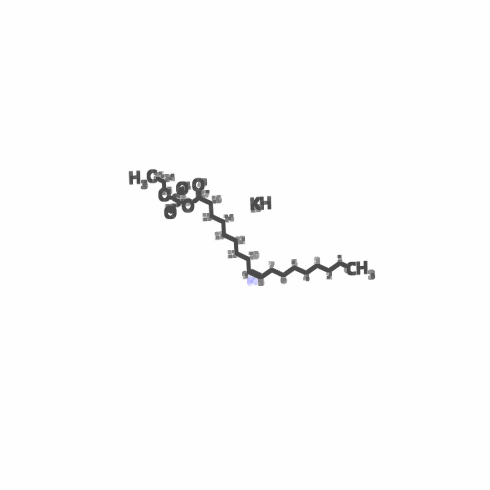 CCCCCCCC/C=C\CCCCCCCC(=O)OS(=O)(=O)OCC.[KH]